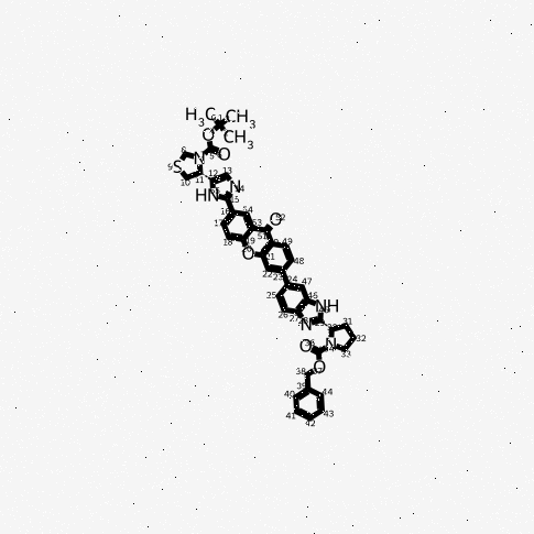 CC(C)(C)OC(=O)N1CSC[C@H]1c1cnc(-c2ccc3oc4cc(-c5ccc6nc([C@@H]7CCCN7C(=O)OCc7ccccc7)[nH]c6c5)ccc4c(=O)c3c2)[nH]1